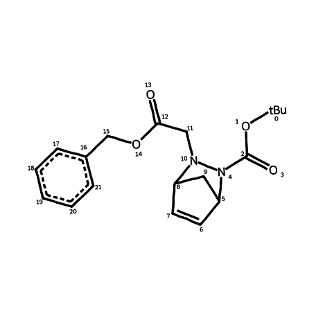 CC(C)(C)OC(=O)N1C2C=CC(C2)N1CC(=O)OCc1ccccc1